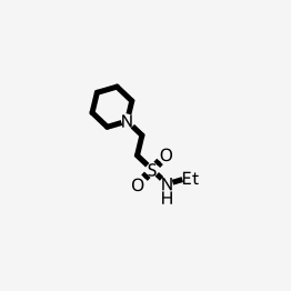 CCNS(=O)(=O)CCN1CCCCC1